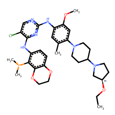 CCO[C@@H]1CCN(C2CCN(c3cc(OC)c(Nc4ncc(Cl)c(Nc5ccc6c(c5P(C)C)OCCO6)n4)cc3C)CC2)C1